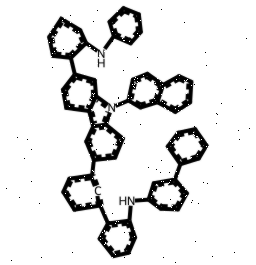 c1ccc(Nc2ccccc2-c2ccc3c4cc(-c5cccc(-c6ccccc6Nc6cccc(-c7ccccc7)c6)c5)ccc4n(-c4ccc5ccccc5c4)c3c2)cc1